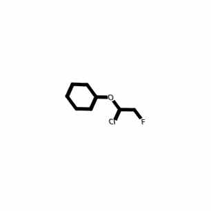 FCC(Cl)OC1CCCCC1